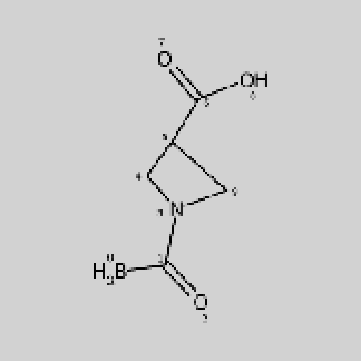 BC(=O)N1CC(C(=O)O)C1